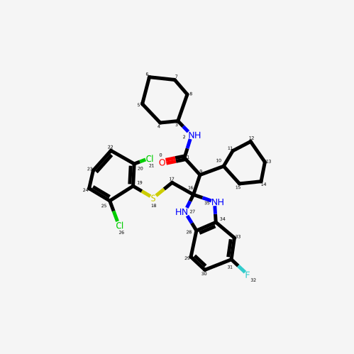 O=C(NC1CCCCC1)C(C1CCCCC1)C1(CSc2c(Cl)cccc2Cl)Nc2ccc(F)cc2N1